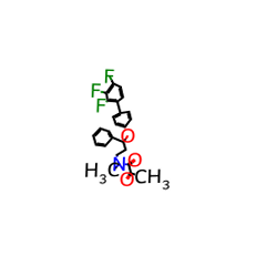 CC(=O)C(=O)N(C)CCC(Oc1ccc(-c2ccc(F)c(F)c2F)cc1)c1ccccc1